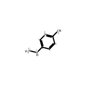 N#Cc1ccc(NN)cn1